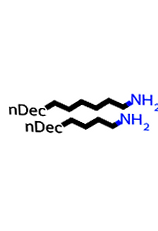 CCCCCCCCCCCCCCCCN.CCCCCCCCCCCCCCN